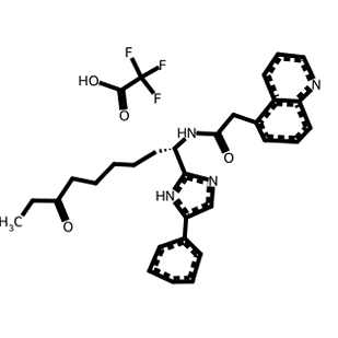 CCC(=O)CCCCC[C@H](NC(=O)Cc1cccc2ncccc12)c1ncc(-c2ccccc2)[nH]1.O=C(O)C(F)(F)F